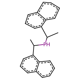 CC(PC(C)c1cccc2ccccc12)c1cccc2ccccc12